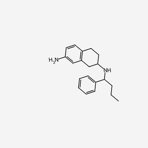 CCCC(NC1CCc2ccc(N)cc2C1)c1ccccc1